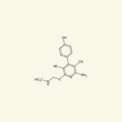 N#Cc1c(N)nc(SCNC(=O)O)c(C#N)c1-c1ccc(O)cc1